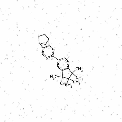 CC1(C)c2ccc(-c3cc4c(cn3)C3CCC4C3)cc2C(C)(C)C1(C)C